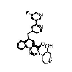 O=c1c2cc(Cc3ccnc(-c4cncc(F)c4)c3)c3ccccc3c2ncn1[C@H]1CCOC[C@@H]1O